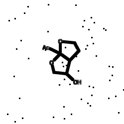 CC(=O)C12OCCC1C(O)CO2